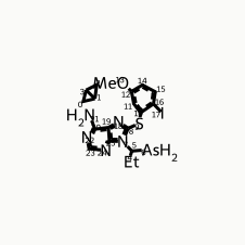 C1C2CC12.CCC([AsH2])n1c(Sc2cc(OC)ccc2I)nc2c(N)ncnc21